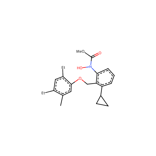 CCc1cc(CC)c(OCc2c(C3CC3)cccc2N(O)C(=O)OC)cc1C